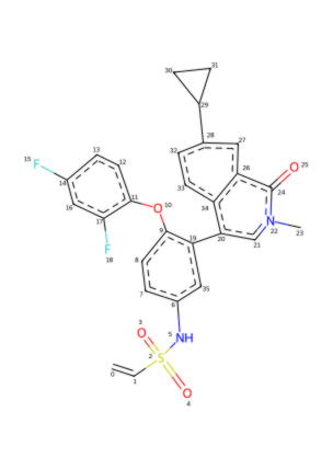 C=CS(=O)(=O)Nc1ccc(Oc2ccc(F)cc2F)c(-c2cn(C)c(=O)c3cc(C4CC4)ccc23)c1